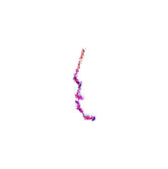 CCCC(=O)N(NC(=O)c1cc(NC(=O)c2nc(NC(=O)CCNC(=O)c3cc(NC(=O)c4nccn4C)cn3C)cn2C)cn1C)c1cn(C)c(C(=O)NCCC(=O)Nc2cc(C(=O)Nc3cn(C)c(C(=O)NCCC(=O)NCCOCCOCCOCCOCCOCC(=O)O)n3)n(C)c2)n1